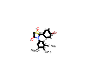 COc1cc(N2C(=O)C[S+]([O-])C2c2ccc(Br)cc2)cc(OC)c1OC